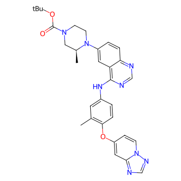 Cc1cc(Nc2ncnc3ccc(N4CCN(C(=O)OC(C)(C)C)C[C@@H]4C)cc23)ccc1Oc1ccn2ncnc2c1